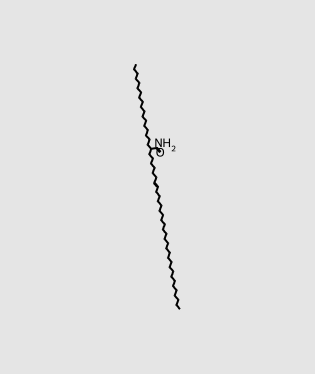 CCCCCCCCCCCCCCCCCCCCCCCCCCC=CCCCCCCC(CCCCCCCCCCCCCCCCCC)C(N)=O